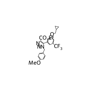 CCOC(=O)c1nnn(Cc2ccc(OC)cc2)c1-c1cc(OCC2CC2)cc(C(F)(F)F)c1